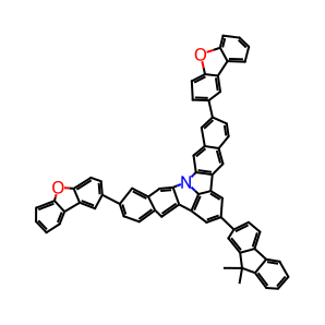 CC1(C)c2ccccc2-c2ccc(-c3cc4c5cc6ccc(-c7ccc8oc9ccccc9c8c7)cc6cc5n5c6cc7cc(-c8ccc9oc%10ccccc%10c9c8)ccc7cc6c(c3)c45)cc21